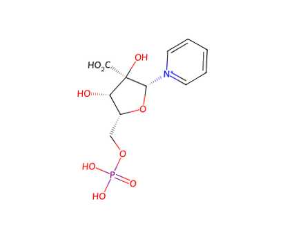 O=C(O)[C@@]1(O)[C@@H](O)[C@@H](COP(=O)(O)O)O[C@H]1[n+]1ccccc1